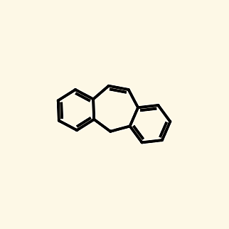 C1=Cc2ccccc2Cc2ccccc21